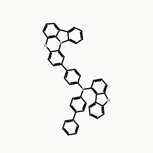 c1ccc(-c2ccc(N(c3ccc(-c4ccc5c(c4)-n4c6ccccc6c6cccc(c64)O5)cc3)c3cccc4oc5ccccc5c34)cc2)cc1